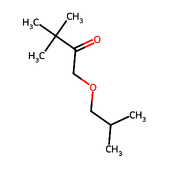 CC(C)COCC(=O)C(C)(C)C